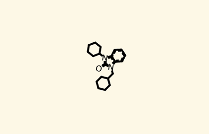 O=c1n(CC2CCCCC2)c2ccccc2n1C1CCCCC1